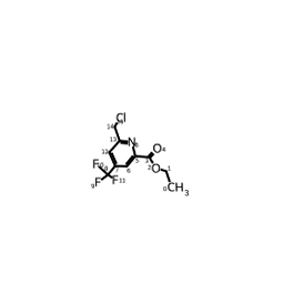 CCOC(=O)c1cc(C(F)(F)F)cc(CCl)n1